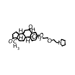 C[C@]12CC[C@H](OCCOCCN3CCCC3)C[C@@H]1C(=O)C[C@@H]1[C@@H]2CC[C@]2(C)C(=O)CC[C@@H]12